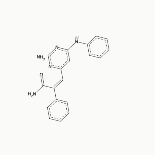 N.NC(=O)C(=Cc1cc(Nc2ccccc2)ncn1)c1ccccc1